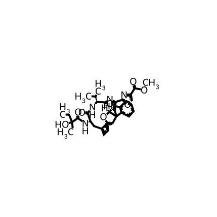 CCC(O)(CC)C(=O)N[C@H]1Cc2ccc3c(c2)C2(c4ccccc4N[C@H]2O3)c2oc(nc2-c2nc(C(=O)OC)co2)[C@H](C(C)C)NC1=O